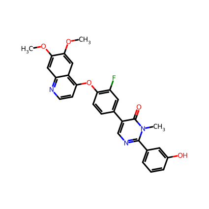 COc1cc2nccc(Oc3ccc(-c4cnc(-c5cccc(O)c5)n(C)c4=O)cc3F)c2cc1OC